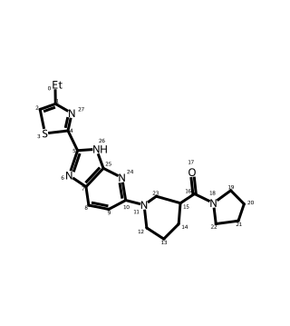 CCc1csc(-c2nc3ccc(N4CCCC(C(=O)N5CCCC5)C4)nc3[nH]2)n1